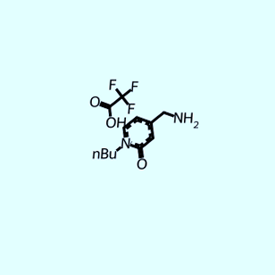 CCCCn1ccc(CN)cc1=O.O=C(O)C(F)(F)F